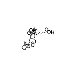 O=C(O)CCCCCNc1cc2oc(=O)c(-c3nc4ccccc4o3)cc2cc1S(=O)(=O)O